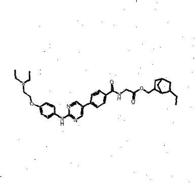 CCC1CC2CC(COC(=O)CNC(=O)c3ccc(-c4cnc(Nc5ccc(OCCN(CC)CC)cc5)nc4)cc3)C1C2